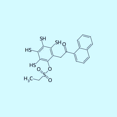 CCS(=O)(=O)Oc1c(S)c(S)c(S)c(S)c1CC(=O)c1cccc2ccccc12